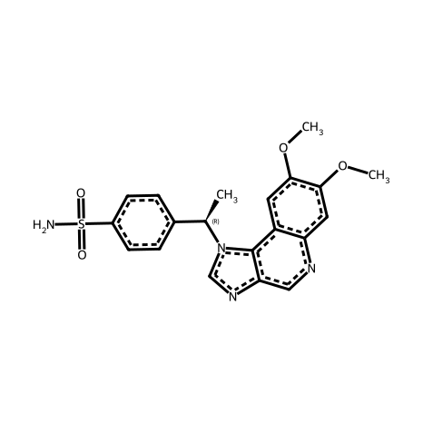 COc1cc2ncc3ncn([C@H](C)c4ccc(S(N)(=O)=O)cc4)c3c2cc1OC